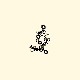 C=C(C)C(=O)OCCNC(=O)OC(COC(=O)c1ccc(Oc2ccc(C(=O)OCC(OC(=O)NCCOC(=O)C(=C)C)c3ccccc3)cc2)cc1)c1ccccc1